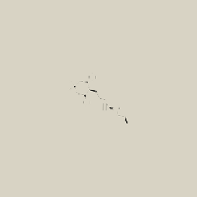 C=CCONCCC=C1C(=O)CC(C)(C)CC1=O